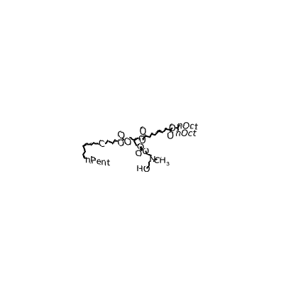 CCCCC/C=C\C/C=C\CCCCCCCCOC(=O)OCC(COC(=O)CCCCCCC(=O)OC(CCCCCCCC)CCCCCCCC)COC(=O)OCCN(C)CCO